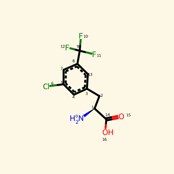 N[C@@H](Cc1cc(Cl)cc(C(F)(F)F)c1)C(=O)O